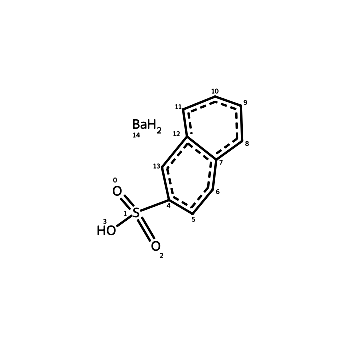 O=S(=O)(O)c1ccc2ccccc2c1.[BaH2]